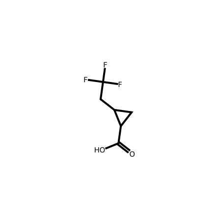 O=C(O)C1CC1CC(F)(F)F